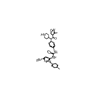 Cc1ccc(-n2nc(C(C)(C)C)cc2NC(=O)Nc2ccc(C(C(=O)c3conc3C)C3CCNCC3)cc2)cc1